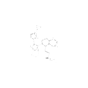 NC(=O)/C=C/c1c(-c2c(-c3ccn(C4CC4)n3)nc3n2CCC3)ccc2ncncc12